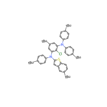 CC(C)(C)c1ccc(N(c2ccc(C(C)(C)C)cc2)c2cc(C(C)(C)C)cc(N(c3ccc(C(C)(C)C)cc3)c3cc4cc(C(C)(C)C)ccc4s3)c2Cl)cc1